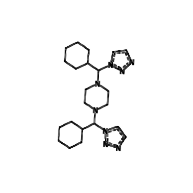 c1cn(C(C2CCCCC2)N2CCN(C(C3CCCCC3)n3ccnn3)CC2)nn1